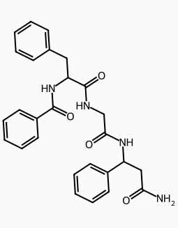 NC(=O)CC(NC(=O)CNC(=O)C(Cc1ccccc1)NC(=O)c1ccccc1)c1ccccc1